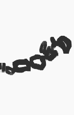 CC(c1ccccc1)N1CC[C@@H](N2CCC(c3ccc(O)cc3)CC2)C1=O